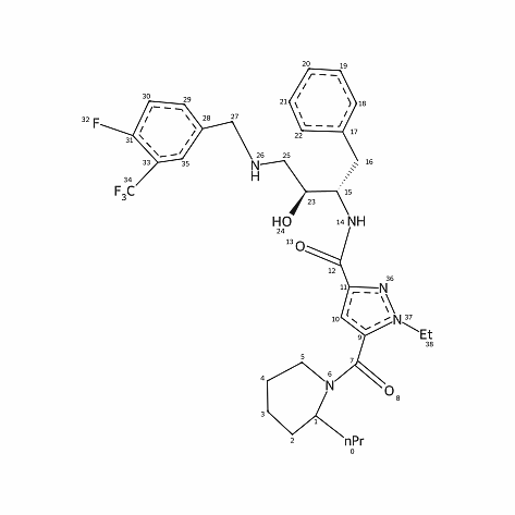 CCCC1CCCCN1C(=O)c1cc(C(=O)N[C@@H](Cc2ccccc2)[C@@H](O)CNCc2ccc(F)c(C(F)(F)F)c2)nn1CC